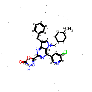 C[C@H]1CC[C@H](Cn2cc(Cc3ccccc3)c3nc(-c4n[nH]c(=O)o4)nc(-c4cncc(Cl)c4)c32)CC1